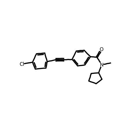 CN(C(=O)c1ccc(C#Cc2ccc(Cl)cc2)cc1)C1CCCC1